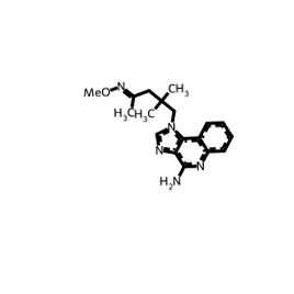 CO/N=C(\C)CC(C)(C)Cn1cnc2c(N)nc3ccccc3c21